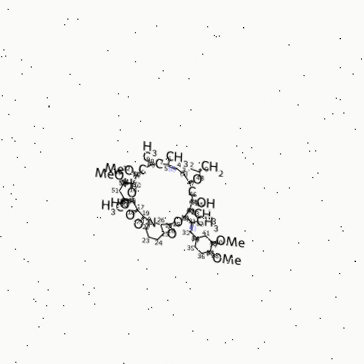 C=CC[C@H]1/C=C(/C)C[C@@H](C)C[C@@H](OC)[C@@H]2O[C@@](O)(C(=O)C(=O)N3CCCCC3C(=O)O[C@H](/C(C)=C/[C@@H]3CC[C@@H](OC)[C@H](OC)C3)[C@H](C)[C@@H](O)CC1=O)[C@H](C)C[C@@H]2OC